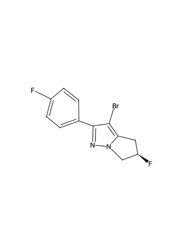 Fc1ccc(-c2nn3c(c2Br)C[C@@H](F)C3)cc1